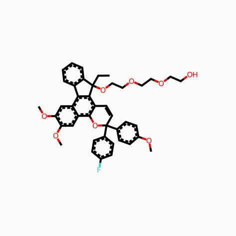 CCC1(OCCOCCOCCO)c2ccccc2-c2c1c1c(c3cc(OC)c(OC)cc23)OC(c2ccc(F)cc2)(c2ccc(OC)cc2)C=C1